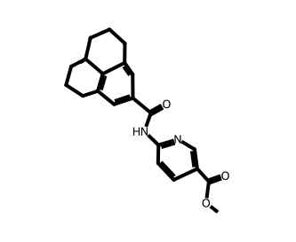 COC(=O)c1ccc(NC(=O)c2cc3c4c(c2)CCCC4(C)CCC3)nc1